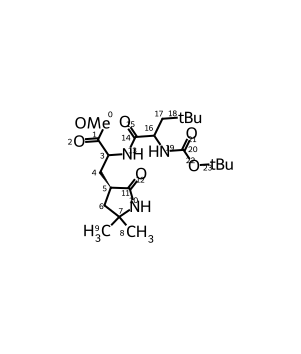 COC(=O)C(C[C@@H]1CC(C)(C)NC1=O)NC(=O)C(CC(C)(C)C)NC(=O)OC(C)(C)C